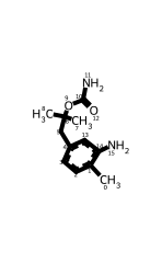 Cc1ccc(CC(C)(C)OC(N)=O)cc1N